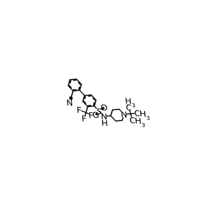 CC(C)(C)N1CCC(NS(=O)(=O)c2ccc(-c3ccccc3C#N)cc2C(F)(F)F)CC1